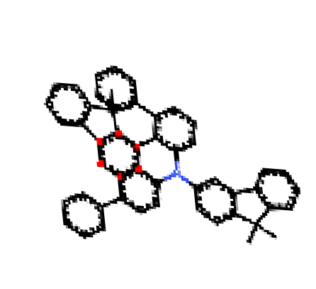 CC1(C)c2ccccc2-c2cc(N(c3cccc(-c4ccccc4)c3-c3cccc4c3C(C)(C)c3ccccc3-4)c3ccc(-c4ccccc4)c4ccccc34)ccc21